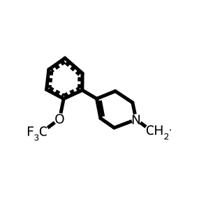 [CH2]N1CC=C(c2ccccc2OC(F)(F)F)CC1